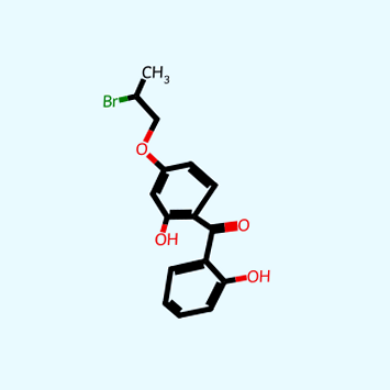 CC(Br)COc1ccc(C(=O)c2ccccc2O)c(O)c1